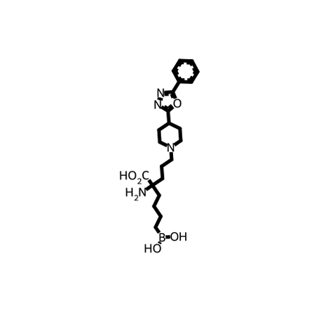 NC(CCCCB(O)O)(CCCN1CCC(c2nnc(-c3ccccc3)o2)CC1)C(=O)O